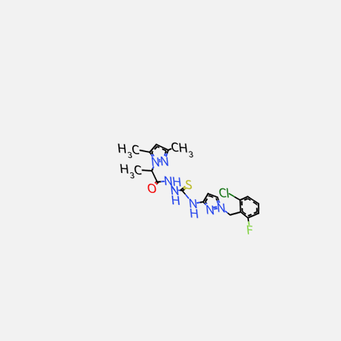 Cc1cc(C)n(C(C)C(=O)NNC(=S)Nc2ccn(Cc3c(F)cccc3Cl)n2)n1